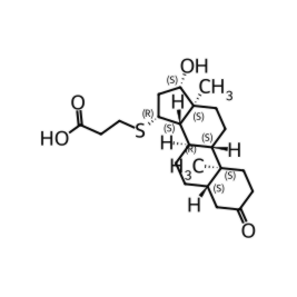 C[C@]12CC[C@H]3[C@@H](CC[C@H]4CC(=O)CC[C@@]43C)[C@@H]1[C@H](SCCC(=O)O)C[C@@H]2O